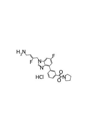 Cl.NC/C=C(\F)Cn1cnc2c(-c3cccc(S(=O)(=O)N4CCCC4)c3)cc(F)cc21